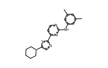 Cc1cc(C)cc(Nc2nccc(-c3ncc(N4CCCCC4)s3)n2)c1